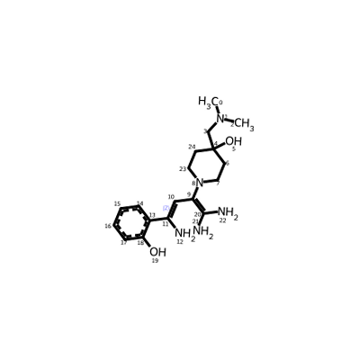 CN(C)CC1(O)CCN(C(/C=C(\N)c2ccccc2O)=C(N)N)CC1